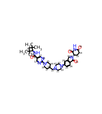 CC1(C)CC(C)(C)C1NC(=O)c1cnc(N2CCC(CN3CCN(c4ccc5c(c4)CN([C@H]4CCC(=O)NC4=O)C5=O)CC3)CC2)nc1